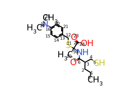 CCCC(CS)C(=O)NC(C)(SCc1ccc(N(C)C)cc1)C(=O)O